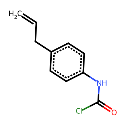 C=CCc1ccc(NC(=O)Cl)cc1